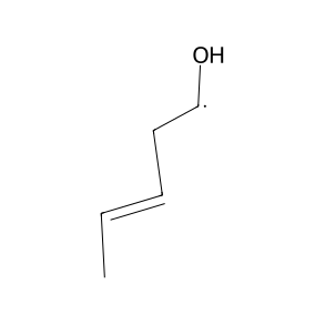 CC=CC[CH]O